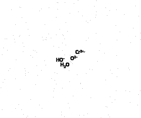 O.[Cr+3].[O-2].[OH-]